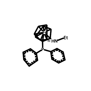 CCN[C@]12[CH]3[CH]4[CH]5[C]1(P(c1ccccc1)c1ccccc1)[Fe]45321678[CH]2[CH]1[CH]6[CH]7[CH]28